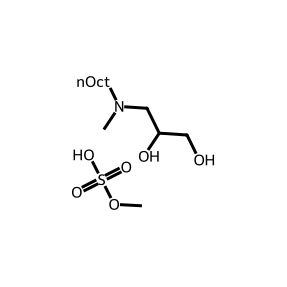 CCCCCCCCN(C)CC(O)CO.COS(=O)(=O)O